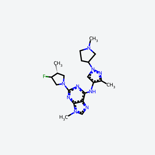 Cc1nn(C2CCN(C)C2)cc1Nc1nc(N2CC(F)[C@H](C)C2)nc2c1ncn2C